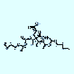 CCCCOC(C)OC(C)OC(C)C(CCC(=O)O)(C(=O)O)C(C)OC(C)OC(C)OCCCC